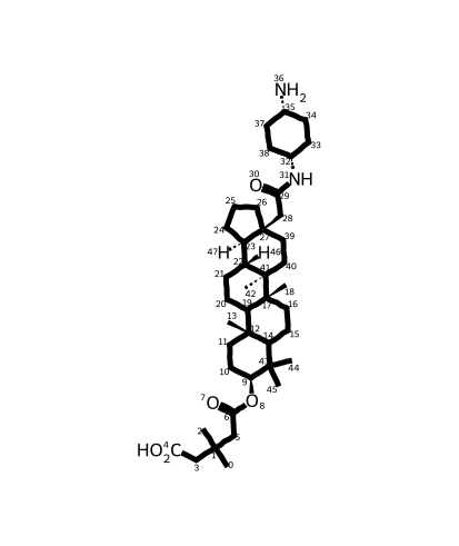 CC(C)(CC(=O)O)CC(=O)O[C@H]1CC[C@@]2(C)C(CC[C@]3(C)C2CC[C@@H]2[C@H]4CCC[C@]4(CC(=O)N[C@H]4CC[C@@H](N)CC4)CC[C@]23C)C1(C)C